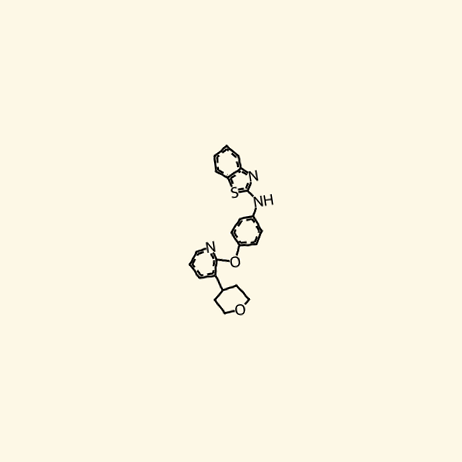 c1cnc(Oc2ccc(Nc3nc4ccccc4s3)cc2)c(C2CCOCC2)c1